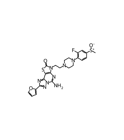 C[S+]([O-])c1ccc(N2CCN(CCn3c(=O)sc4c3nc(N)n3nc(-c5ccco5)nc43)CC2)c(F)c1